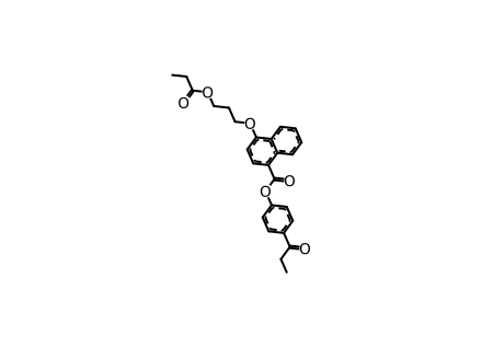 CCC(=O)OCCCOc1ccc(C(=O)Oc2ccc(C(=O)CC)cc2)c2ccccc12